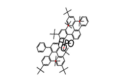 CC(C)(C)c1ccc(-c2c(OPOc3ccc(-c4ccccc4)c(-c4ccc(C(C)(C)C)cc4C(C)(C)C)c3-c3ccc(C(C)(C)C)cc3C(C)(C)C)ccc(-c3ccccc3)c2-c2ccc(C(C)(C)C)cc2C(C)(C)C)c(C(C)(C)C)c1